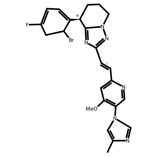 COc1cc(/C=C/c2nc3n(n2)CCC[C@@H]3C2=CC=C(F)CC2Br)ncc1-n1cnc(C)c1